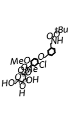 COc1cc(OCc2cccc(CNC(=O)OC(C)(C)C)c2)c(Cl)cc1C(=O)O[C@H]1[C@@H](OC)O[C@H](CO)[C@@H](O)[C@@H]1O